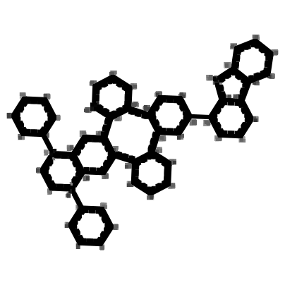 c1ccc(-n2ccn(-c3ccccc3)c3cc4c(cc32)c2ccccc2c2cc(-c3cccc5c3sc3ccccc35)ccc2c2cccnc24)cc1